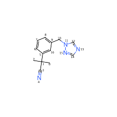 CC(C)(C#N)c1[c]ccc(Cn2cncn2)c1